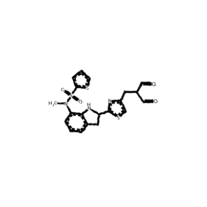 CN(c1cccc2c1NC(c1nc(CC(C=O)C=O)cs1)C2)S(=O)(=O)c1cccs1